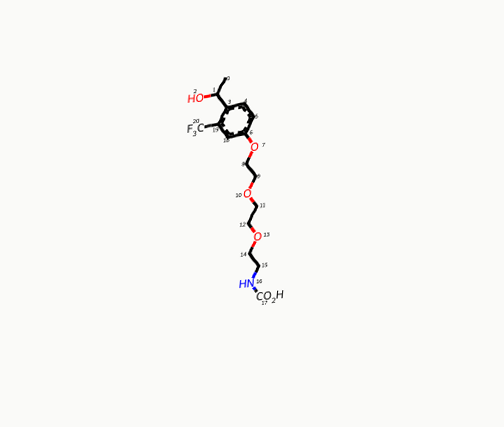 CC(O)c1ccc(OCCOCCOCCNC(=O)O)cc1C(F)(F)F